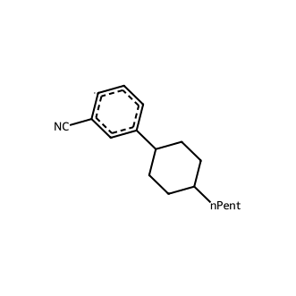 CCCCCC1CCC(c2cc[c]c(C#N)c2)CC1